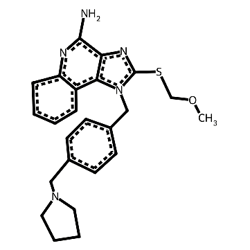 COCSc1nc2c(N)nc3ccccc3c2n1Cc1ccc(CN2CCCC2)cc1